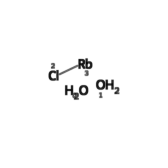 O.O.[Cl][Rb]